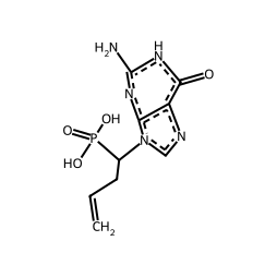 C=CCC(n1cnc2c(=O)[nH]c(N)nc21)P(=O)(O)O